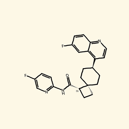 O=C(Nc1ccc(F)cn1)[C@H]1CC[C@]12CC[C@H](c1ccnc3ccc(F)cc31)CC2